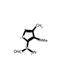 CNc1c(C)csc1N(C=O)C(C)C